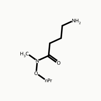 CCCON(C)C(=O)CCCN